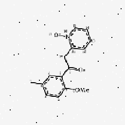 COc1ccc(C)cc1C(=O)Cc1cccc[n+]1[O-]